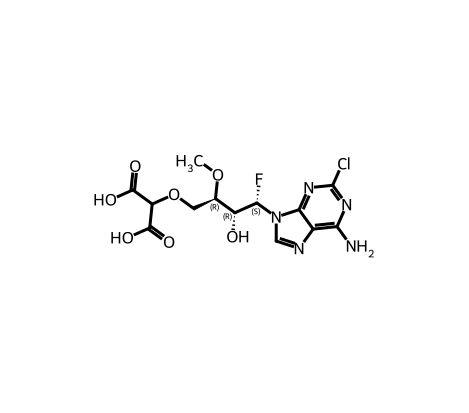 CO[C@H](COC(C(=O)O)C(=O)O)[C@@H](O)[C@H](F)n1cnc2c(N)nc(Cl)nc21